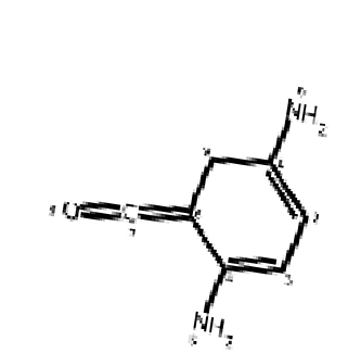 NC1=CC=C(N)C(=C=O)C1